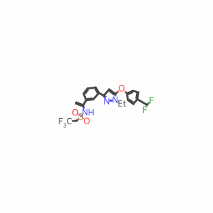 C=C(NS(=O)(=O)CC(F)(F)F)c1cccc(-c2cc(Oc3ccc(C(F)F)cc3)n(CC)n2)c1